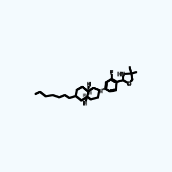 CCCCCCCC1CC[C@@H]2C[C@H](c3ccc(C4NC(C)(C)CO4)c(F)c3)CC[C@@H]2C1